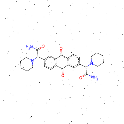 NC(=O)C(c1ccc2c(c1)C(=O)c1ccc(C(C(N)=O)N3CCCCC3)cc1C2=O)N1CCCCC1